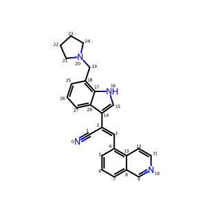 N#CC(=Cc1cccc2cnccc12)c1c[nH]c2c(CN3CCCC3)cccc12